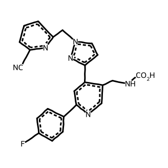 N#Cc1cccc(Cn2ccc(-c3cc(-c4ccc(F)cc4)ncc3CNC(=O)O)n2)n1